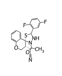 CC(=O)N1NC(c2cc(F)ccc2F)S[C@]12c1ccccc1OC[C@H]2CC#N